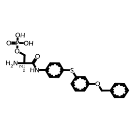 C[C@](N)(COP(=O)(O)O)C(=O)Nc1ccc(Sc2cccc(OCc3ccccc3)c2)cc1